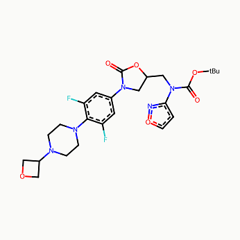 CC(C)(C)OC(=O)N(CC1CN(c2cc(F)c(N3CCN(C4COC4)CC3)c(F)c2)C(=O)O1)c1ccon1